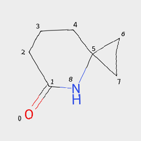 O=C1CCCC2(CC2)N1